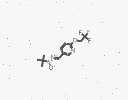 CC(C)(C)[S+]([O-])/N=C/c1ccc(OCC(F)(F)F)nc1